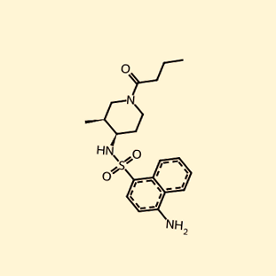 CCCC(=O)N1CC[C@@H](NS(=O)(=O)c2ccc(N)c3ccccc23)[C@@H](C)C1